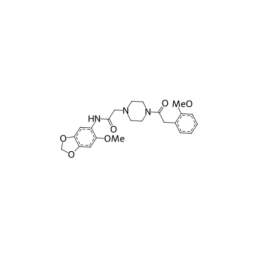 COc1ccccc1CC(=O)N1CCN(CC(=O)Nc2cc3c(cc2OC)OCO3)CC1